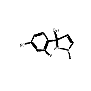 CN1C=CC(O)(c2ccc(C#N)cc2F)N1